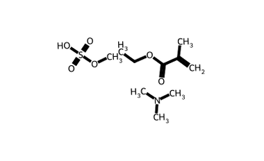 C=C(C)C(=O)OCC.CN(C)C.COS(=O)(=O)O